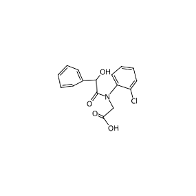 O=C(O)CN(C(=O)C(O)c1ccccc1)c1ccccc1Cl